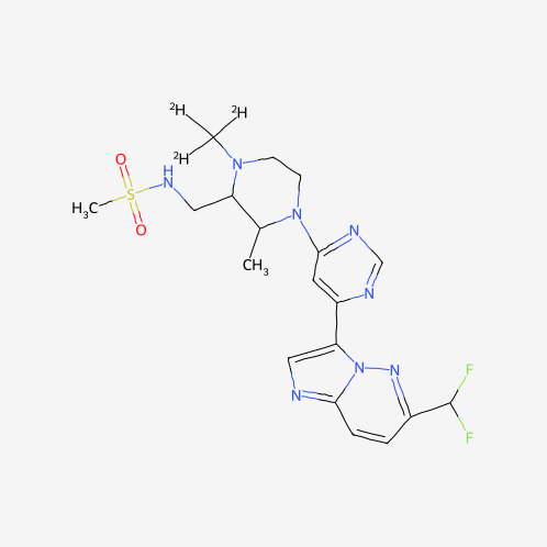 [2H]C([2H])([2H])N1CCN(c2cc(-c3cnc4ccc(C(F)F)nn34)ncn2)C(C)C1CNS(C)(=O)=O